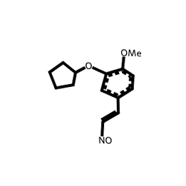 COc1ccc(/C=C/N=O)cc1OC1CCCC1